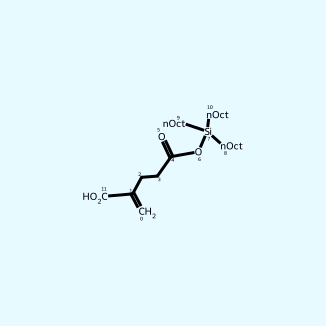 C=C(CCC(=O)O[Si](CCCCCCCC)(CCCCCCCC)CCCCCCCC)C(=O)O